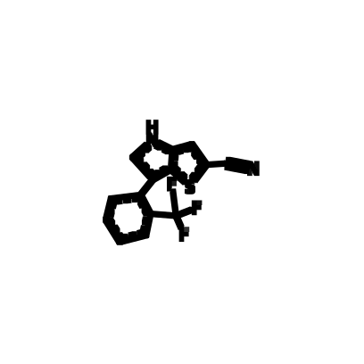 N#Cc1cc2[nH]cc(-c3ccccc3C(F)(F)F)c2s1